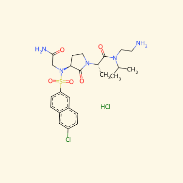 CC(C)N(CCN)C(=O)[C@H](C)N1CC[C@H](N(CC(N)=O)S(=O)(=O)c2ccc3cc(Cl)ccc3c2)C1=O.Cl